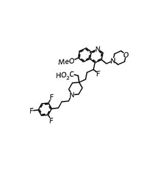 COc1ccc2ncc(CN3CCOCC3)c(C(F)CCC3(CC(=O)O)CCN(CCCc4c(F)cc(F)cc4F)CC3)c2c1